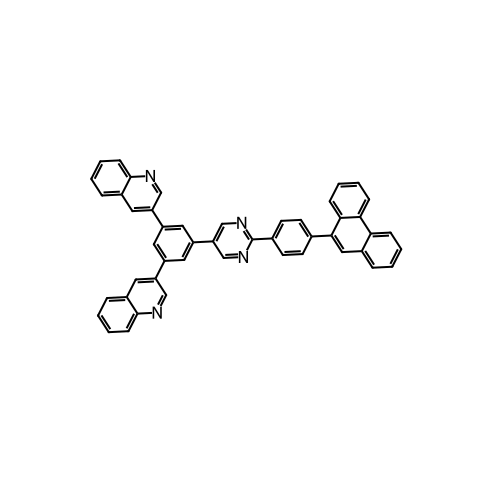 c1ccc2ncc(-c3cc(-c4cnc(-c5ccc(-c6cc7ccccc7c7ccccc67)cc5)nc4)cc(-c4cnc5ccccc5c4)c3)cc2c1